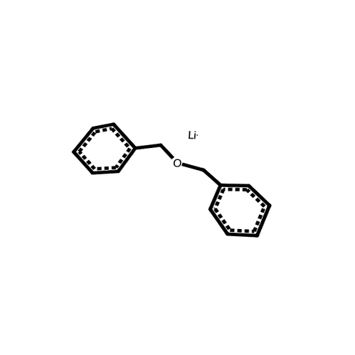 [Li].c1ccc(COCc2ccccc2)cc1